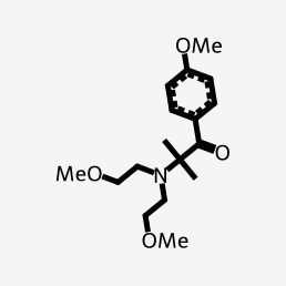 COCCN(CCOC)C(C)(C)C(=O)c1ccc(OC)cc1